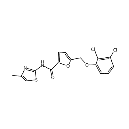 Cc1csc(NC(=O)c2ccc(COc3cccc(Cl)c3Cl)o2)n1